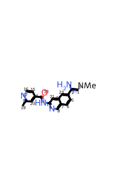 CN/C=C(\N)c1ccc2cnc(NC(=O)c3ccnc(C)c3)cc2c1